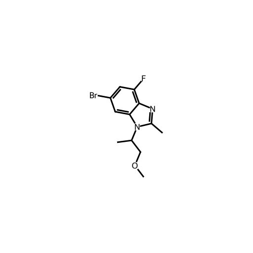 COCC(C)n1c(C)nc2c(F)cc(Br)cc21